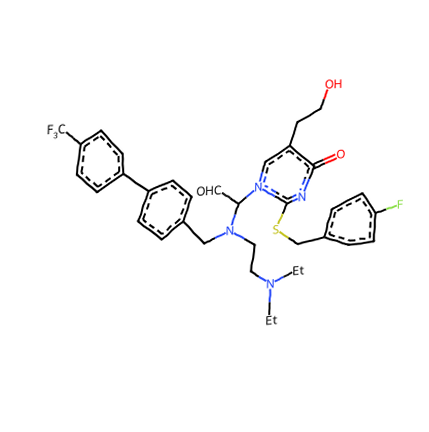 CCN(CC)CCN(Cc1ccc(-c2ccc(C(F)(F)F)cc2)cc1)C(C=O)n1cc(CCO)c(=O)nc1SCc1ccc(F)cc1